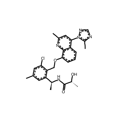 Cc1cc(Cl)c(COc2cccc3c(-n4ncnc4C)cc(C)nc23)c([C@H](C)NC(=O)[C@@H](C)O)c1